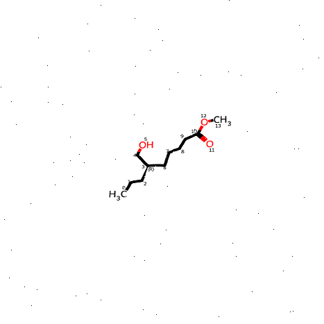 CCC[C@@H](CO)CCCCC(=O)OC